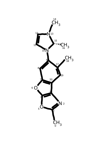 Cc1nc2c(o1)oc1cc(N3C=CN(C)[C@@H]3C)c(C)cc12